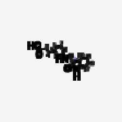 O=C(O)CCc1cccc(N/C=C2\C(=O)Nc3ccccc32)c1